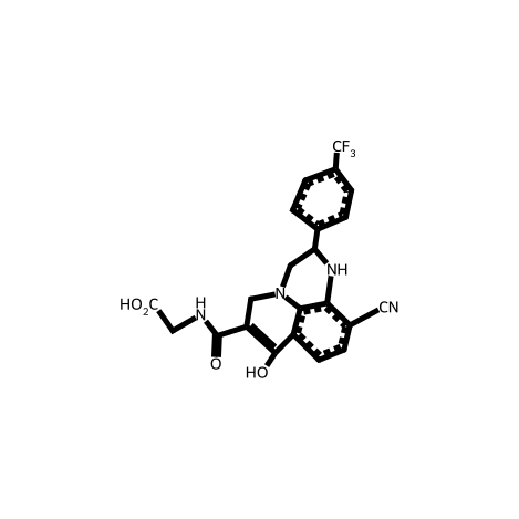 N#Cc1ccc2c3c1NC(c1ccc(C(F)(F)F)cc1)CN3CC(C(=O)NCC(=O)O)=C2O